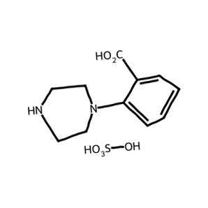 O=C(O)c1ccccc1N1CCNCC1.O=S(=O)(O)O